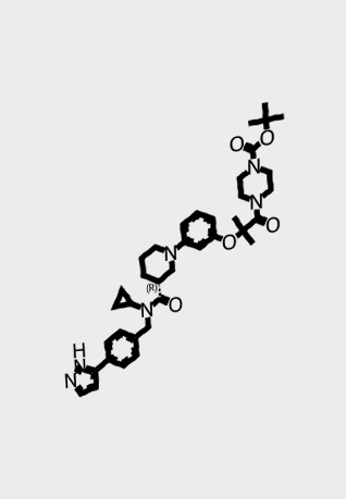 CC(C)(C)OC(=O)N1CCN(C(=O)C(C)(C)Oc2cccc(N3CCC[C@@H](C(=O)N(Cc4ccc(-c5ccn[nH]5)cc4)C4CC4)C3)c2)CC1